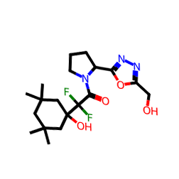 CC1(C)CC(C)(C)CC(O)(C(F)(F)C(=O)N2CCCC2c2nnc(CO)o2)C1